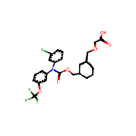 O=C(O)COCC1CCCC(COC(=O)N(c2cccc(F)c2)c2cccc(OC(F)(F)F)c2)C1